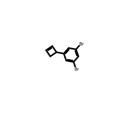 Brc1cc(Br)cc(C2C=CC2)c1